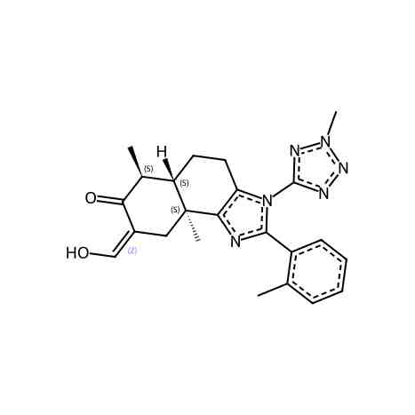 Cc1ccccc1-c1nc2c(n1-c1nnn(C)n1)CC[C@H]1[C@H](C)C(=O)/C(=C\O)C[C@]21C